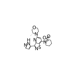 C[C@@H]1COCCN1c1cc(N2CCCCS2(=O)=O)c2snc(-c3ccn[nH]3)c2n1